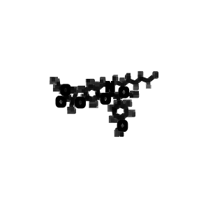 CCCCCCCN(Cc1ccc(OC(C)(C)C(=O)OCC)cc1)C(=O)C(OC)c1ccc(OC)cc1